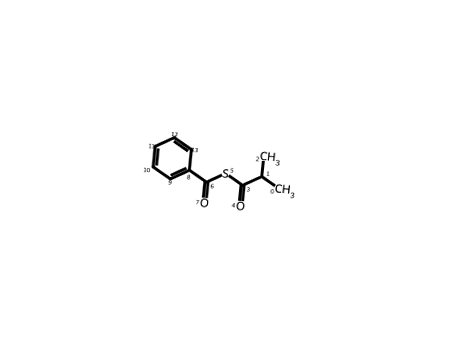 CC(C)C(=O)SC(=O)c1ccccc1